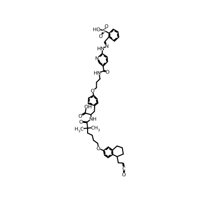 CC(C)(CCCCOc1ccc2c(c1)CCCC2CC=C=O)C(=O)NC(Cc1ccc(OCCCNC(=O)c2ccc(NN=Cc3ccccc3S(=O)(=O)O)nc2)cc1)C(=O)O